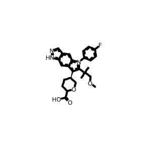 COCC(C)(C)c1c([C@@H]2CCC(C(=O)O)OC2)c2cc3[nH]ncc3cc2n1-c1ccc(F)cc1